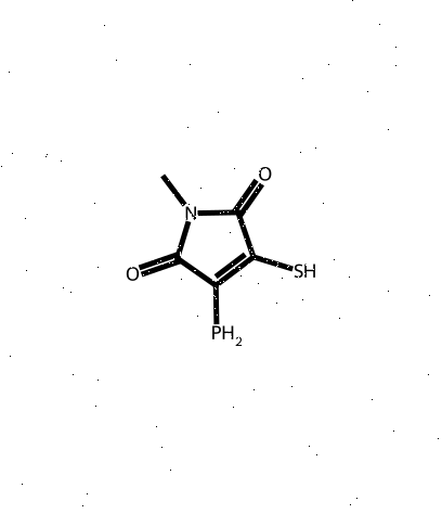 CN1C(=O)C(P)=C(S)C1=O